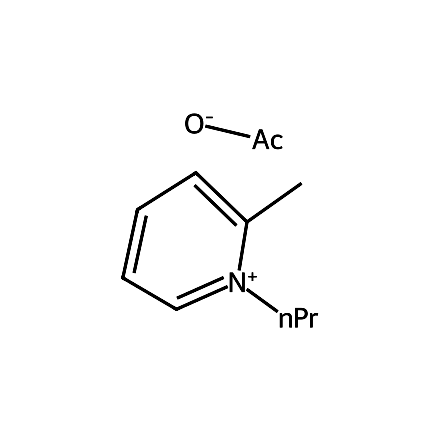 CC(=O)[O-].CCC[n+]1ccccc1C